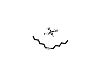 CCCCC[CH2][Zn][CH2]CCCCC.OP(O)(=S)S